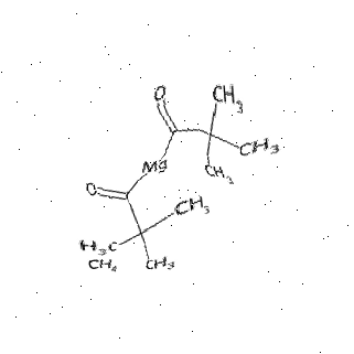 C.CC(C)(C)[C](=O)[Mg][C](=O)C(C)(C)C